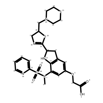 CN(c1cc(OCC(=O)O)cc2c1NC(C1=NCC(CN3CCSCC3)S1)C2)S(=O)(=O)c1ccccn1